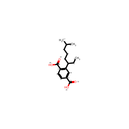 CCC(CCCC(C)C)c1cc(C(=O)O)ccc1C(=O)O